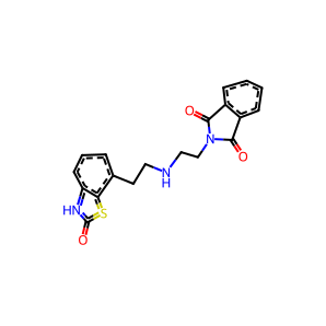 O=C1c2ccccc2C(=O)N1CCNCCc1cccc2[nH]c(=O)sc12